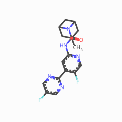 CC1CC2CC(C1)N2C(=O)Nc1cc(-c2ncc(F)cn2)c(F)cn1